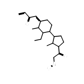 C=CC(=O)/C=C1/CCC(C2CCC(C(=O)CN=O)C2C)C(CC)C1C